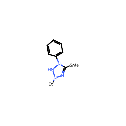 CCN1N=C(SC)N(c2ccccc2)N1